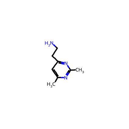 Cc1cc(CCN)nc(C)n1